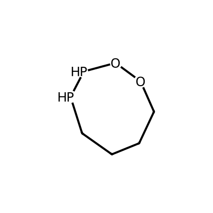 C1CCPPOOC1